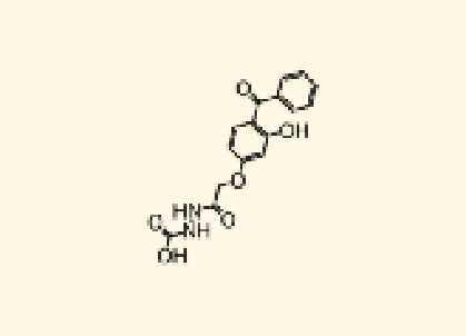 O=C(O)NNC(=O)COc1ccc(C(=O)c2ccccc2)c(O)c1